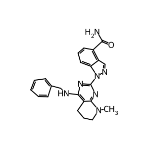 CN1CCCc2c(NCc3ccccc3)nc(-n3ncc4c(C(N)=O)cccc43)nc21